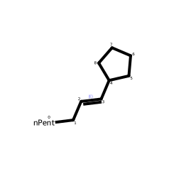 CCCCCC/C=C/C1CCCC1